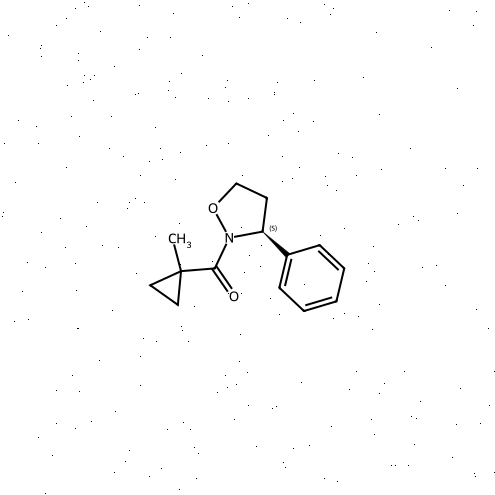 CC1(C(=O)N2OCC[C@H]2c2ccccc2)CC1